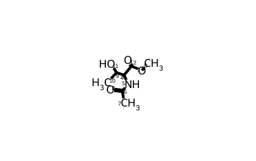 COC(=O)C(NC(C)=O)C(C)O